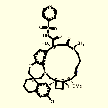 CO[C@H]1/C=C/CCN(C)C(=O)C[C@](O)(C(=O)NS(=O)(=O)c2ccncc2)c2ccc3c(c2)N(C[C@@H]2CC[C@H]21)C[C@@]1(CCCc2cc(Cl)ccc21)CO3